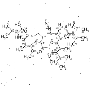 CC[C@H](C)[C@@H]([C@@H](CC(=O)N1CCC[C@H]1[C@H](OC)[C@@H](C)C(=O)N[C@H](C(=O)O)C(C)C)OC)N(C)C(=O)[C@@H](NC(=O)[C@H](C(C)C)N(C)C)[C@H](C)N=[N+]=[N-]